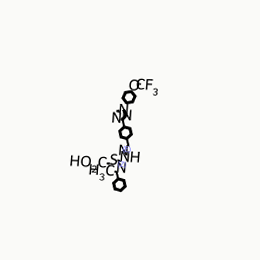 CC(/N=C(/N/N=C/c1ccc(-c2ncn(-c3ccc(OC(F)(F)F)cc3)n2)cc1)SCC(=O)O)c1ccccc1